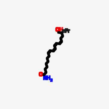 CCCC(CO)CC\C=C/C=C\C=C/C=C\CCCCCCCC(N)=O